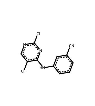 N#Cc1cccc(Nc2nc(Cl)ncc2Cl)c1